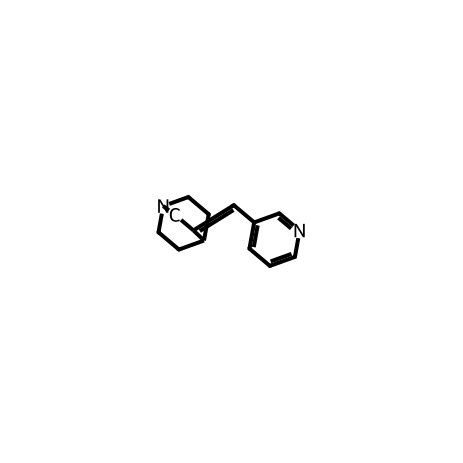 C(=C1CN2CCC1CC2)c1cccnc1